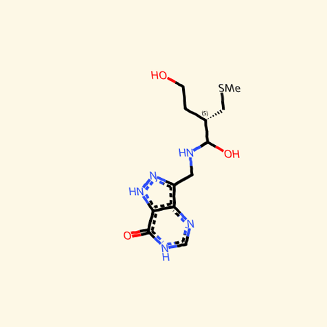 CSC[C@@H](CCO)C(O)NCc1n[nH]c2c(=O)[nH]cnc12